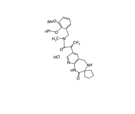 C=C(C(=O)N(C)Cc1cccc(OC)c1OCCC)c1cnc2c(c1)CNC1(CCCC1)C(=O)N2.Cl